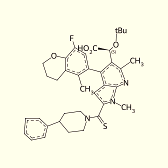 Cc1nc2c(cc(C(=S)N3CCC(c4ccccc4)CC3)n2C)c(-c2cc(F)c3c(c2C)CCCO3)c1[C@H](OC(C)(C)C)C(=O)O